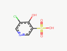 O=S(=O)(O)c1cncc(Cl)c1O